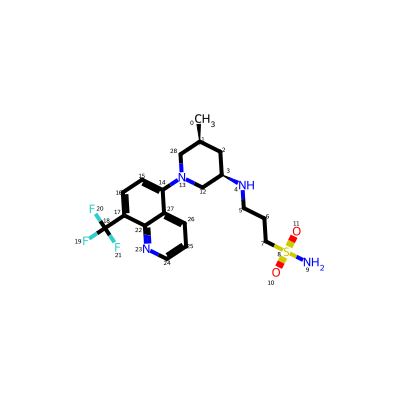 C[C@H]1C[C@@H](NCCCS(N)(=O)=O)CN(c2ccc(C(F)(F)F)c3ncccc23)C1